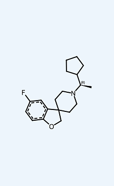 C[C@H](C1CCCC1)N1CCC2(CC1)COc1ccc(F)cc12